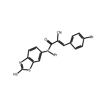 CC(C)N(C(=O)C(C#N)=Cc1ccc(Br)cc1)c1ccc2nc(S)sc2c1